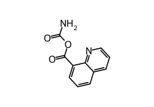 NC(=O)OC(=O)c1cccc2cccnc12